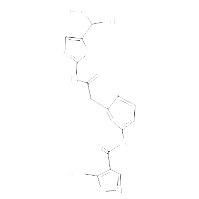 Cc1oncc1C(=O)Nc1cccc(CC(=O)Nc2ncc(C(C)C)s2)c1